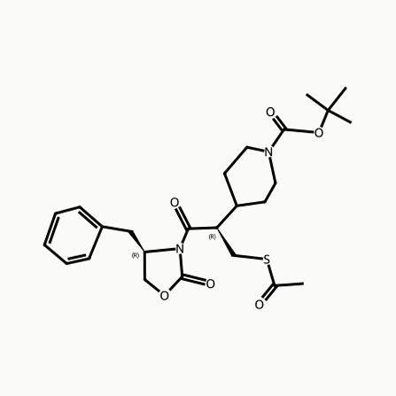 CC(=O)SC[C@@H](C(=O)N1C(=O)OC[C@H]1Cc1ccccc1)C1CCN(C(=O)OC(C)(C)C)CC1